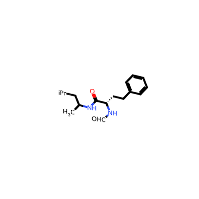 CC(C)CC(C)NC(=O)[C@H](CCc1ccccc1)NC=O